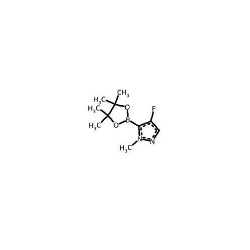 Cn1ncc(F)c1B1OC(C)(C)C(C)(C)O1